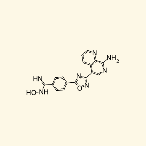 N=C(NO)c1ccc(-c2nc(-c3cnc(N)c4ncccc34)no2)cc1